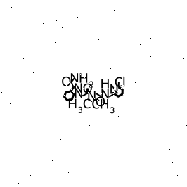 CC(C)N(CC(=O)NCc1cccc(Cl)n1)C(=O)Cn1nc(C(N)=O)c2ccccc21